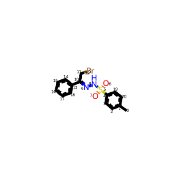 Cc1ccc(S(=O)(=O)NN=C(CBr)c2ccccc2)cc1